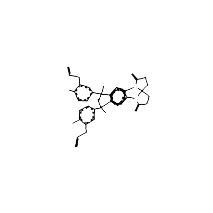 C=CCc1cc(C(C)(C)c2ccc(N3C(=O)CCC34CCC(=O)N4c3ccc(C(C)(C)c4ccc(O)c(CC=C)c4)cc3)cc2)ccc1O